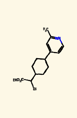 CCOC(=O)C(CC)C1CCC(c2ccnc(C(F)(F)F)c2)CC1